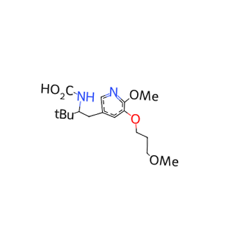 COCCCOc1cc(CC(NC(=O)O)C(C)(C)C)cnc1OC